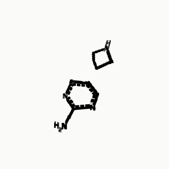 C1CNC1.Nc1ncccn1